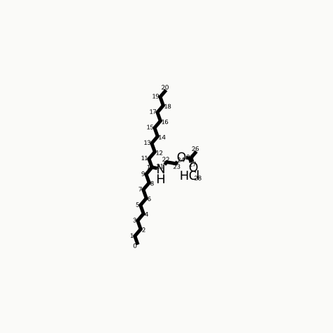 CCCCCCCCCCC(CCCCCCCCCC)NCCOC(C)=O.Cl